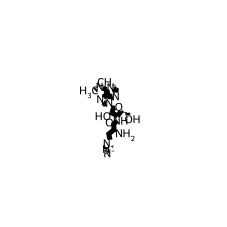 CN(C)c1ncnc2c1ncn2[C@@H]1O[C@H](CO)C(NC(=O)[C@@H](N)CCN=[N+]=[N-])[C@@H]1O